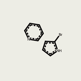 Brc1ccc[nH]1.c1ccncc1